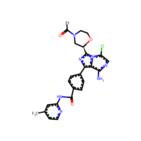 CCC(=O)N1CCO[C@@H](c2nc(-c3ccc(C(=O)Nc4cc(C(F)(F)F)ccn4)cc3)c3c(N)ncc(Cl)n23)C1